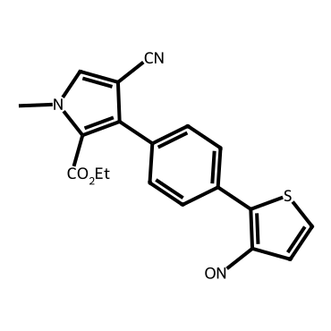 CCOC(=O)c1c(-c2ccc(-c3sccc3N=O)cc2)c(C#N)cn1C